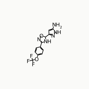 Nc1cc(C2NC(c3ccc(OC(F)(F)F)cc3)=NO2)n[nH]1